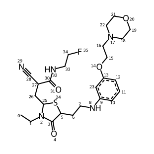 CCN1C(=O)C(CCNc2cccc(OCCN3CCOCC3)c2)SC1CC(C#N)C(=O)NCCF